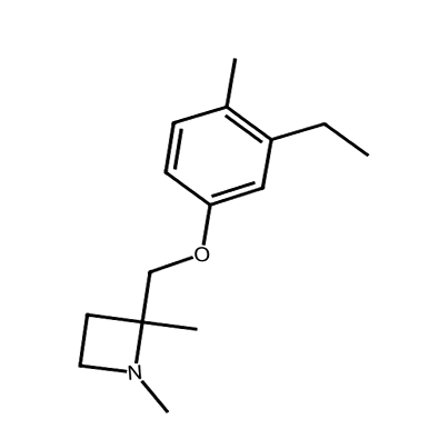 CCc1cc(OCC2(C)CCN2C)ccc1C